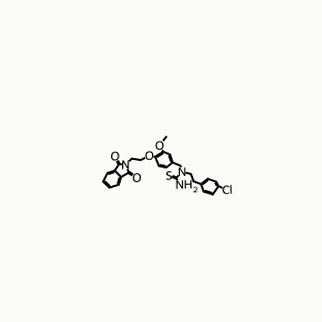 COc1cc(CN(CCc2ccc(Cl)cc2)C(N)=S)ccc1OCCN1C(=O)c2ccccc2C1=O